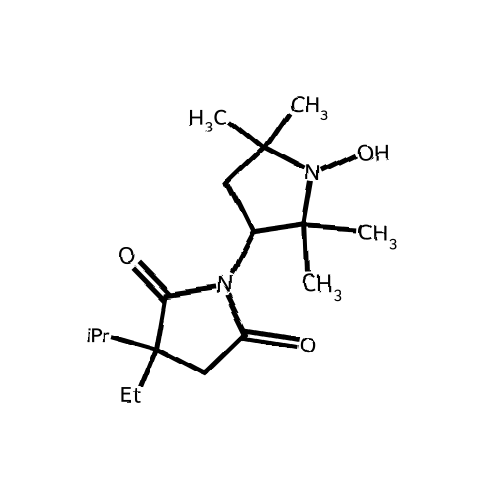 CCC1(C(C)C)CC(=O)N(C2CC(C)(C)N(O)C2(C)C)C1=O